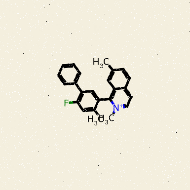 Cc1ccc2cc[n+](C)c(-c3cc(-c4ccccc4)c(F)cc3C)c2c1